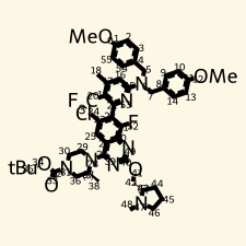 COc1ccc(CN(Cc2ccc(OC)cc2)c2cc(C)c(C(F)(F)F)c(-c3c(Cl)cc4c(N5CCN(C(=O)OC(C)(C)C)C[C@@H]5C)nc(OC[C@@H]5CCCN5C)nc4c3F)n2)cc1